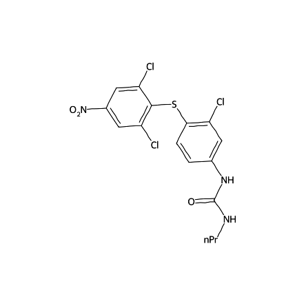 CCCNC(=O)Nc1ccc(Sc2c(Cl)cc([N+](=O)[O-])cc2Cl)c(Cl)c1